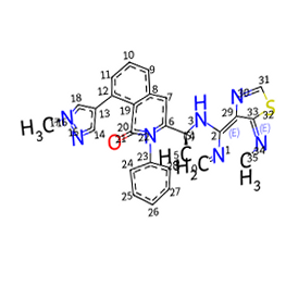 C=N/C(N[C@@H](C)c1cc2cccc(-c3cnn(C)c3)c2c(=O)n1-c1ccccc1)=C1/N=CS/C1=N/C